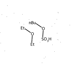 CCCCOS(=O)(=O)O.CCOCC